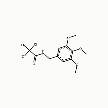 COc1cc(CNC(=O)C(Cl)(Cl)Cl)cc(OC)c1OC